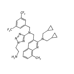 Cc1cccc2cc(CN(Cc3cc(C(F)(F)F)cc(C(F)(F)F)c3)c3nnn(CCN)n3)c(N(CC3CC3)CC3CC3)nc12